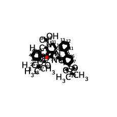 CC(C)S(=O)(=O)c1ccc(-c2ccccc2N2C(=O)N=C(NC(=O)OC(C)(C)C)[C@@]23CCN(C(=O)O)[C@H](C)C3Cc2ccccc2)cc1